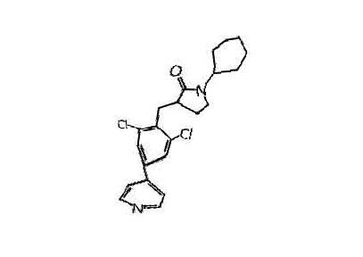 O=C1C(Cc2c(Cl)cc(-c3ccncc3)cc2Cl)CCN1C1CCCCC1